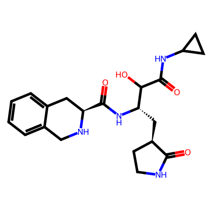 O=C(NC1CC1)C(O)[C@H](C[C@@H]1CCNC1=O)NC(=O)[C@@H]1Cc2ccccc2CN1